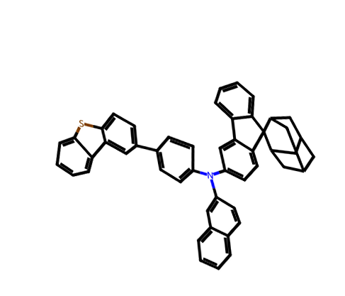 c1ccc2c(c1)-c1cc(N(c3ccc(-c4ccc5sc6ccccc6c5c4)cc3)c3ccc4ccccc4c3)ccc1C21C2CC3CC(C2)CC1C3